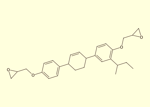 CCC(C)c1cc(C2C=CC(c3ccc(OCC4CO4)cc3)CC2)ccc1OCC1CO1